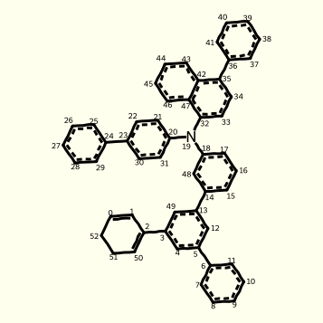 C1=CC(c2cc(-c3ccccc3)cc(-c3cccc(N(c4ccc(-c5ccccc5)cc4)c4ccc(-c5ccccc5)c5ccccc45)c3)c2)=CCC1